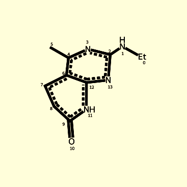 CCNc1nc(C)c2ccc(=O)[nH]c2n1